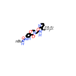 CCCCNC(=O)Nc1ccc2c(c1)C(=O)N(CC(=O)N[C@H](CC(=O)OCC)c1cccnc1)CCO2